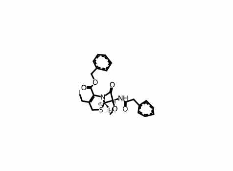 CO[C@@]1(NC(=O)Cc2ccccc2)C(=O)N2C(C(=O)OCc3ccccc3)=C(CI)CS[C@H]21